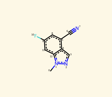 Cn1ncc2c(C#N)cc(F)cc21